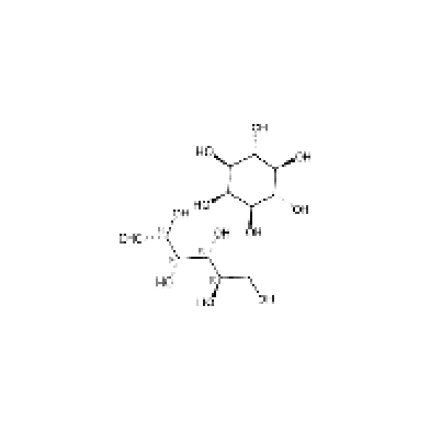 O=C[C@H](O)[C@@H](O)[C@H](O)[C@H](O)CO.O[C@H]1[C@H](O)[C@@H](O)[C@H](O)[C@@H](O)[C@H]1O